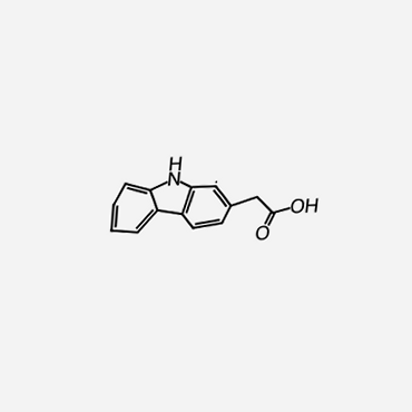 O=C(O)Cc1[c]c2[nH]c3ccccc3c2cc1